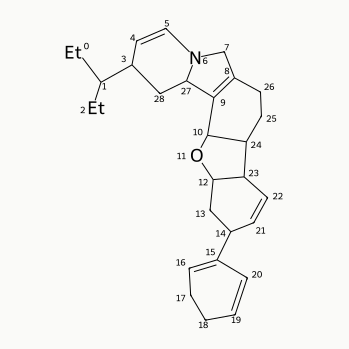 CCC(CC)C1C=CN2CC3=C(C4OC5CC(C6=CCCC=C6)C=CC5C4CC3)C2C1